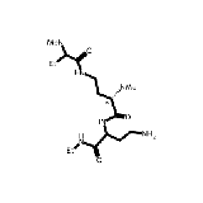 CCNC(=O)C(CCN)NC(=O)[C@H](CCNC(=O)C(CC)NC)NC